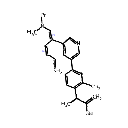 C=C/C=C\C(=C/N(C)C(C)C)c1cncc(-c2ccc(C(C)C(=C)C(C)CC)c(C)c2)c1